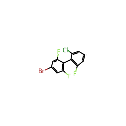 Fc1cc(Br)cc(F)c1-c1c(F)c[c]cc1Cl